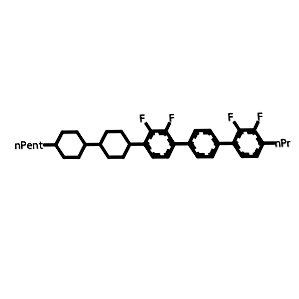 CCCCCC1CCC(C2CCC(c3ccc(-c4ccc(-c5ccc(CCC)c(F)c5F)cc4)c(F)c3F)CC2)CC1